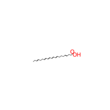 CCC=CCCC=CC=CC=CC=CCCCC=CCCC(=O)O